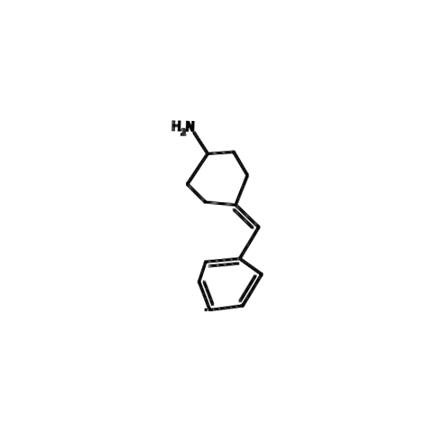 NC1CCC(=Cc2cc[c]cc2)CC1